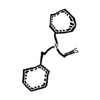 S=CN(Cc1ccccc1)c1ccccc1